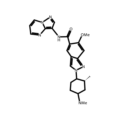 CNC1CCC(n2cc3cc(C(=O)Nc4cnn5cccnc45)c(OC)cc3n2)[C@H](C)C1